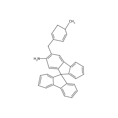 CC1C=CC(Cc2cc3c(cc2N)C2(c4ccccc4-c4ccccc42)c2ccccc2-3)=CC1